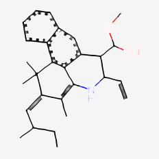 C=CC1NC2=C(C)/C(=C\C(C)CC)C(C)(C)c3c2c(cc2ccccc32)C1C(O)OC